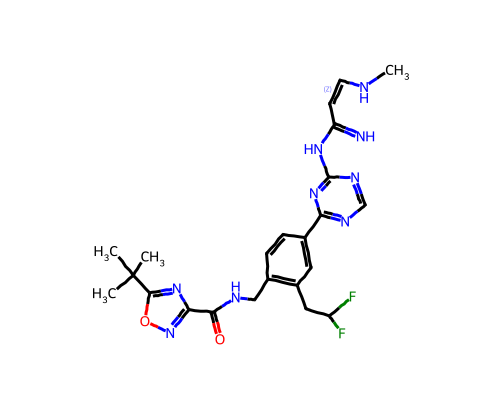 CN/C=C\C(=N)Nc1ncnc(-c2ccc(CNC(=O)c3noc(C(C)(C)C)n3)c(CC(F)F)c2)n1